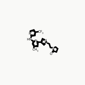 Cc1cc(Nc2cc(C(F)(F)F)ccn2)nc(-c2cnn(CCN3CCCC3=O)c2)c1